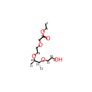 CCOC(=O)COCCO[C@H](C)[C@@H](C)OCCO